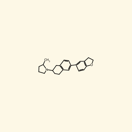 CC1CCCN1C1CCc2cc(-c3ccc4c(c3)CCO4)ccc2C1